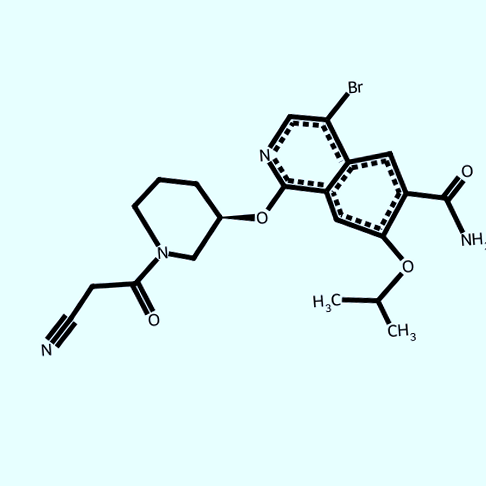 CC(C)Oc1cc2c(O[C@@H]3CCCN(C(=O)CC#N)C3)ncc(Br)c2cc1C(N)=O